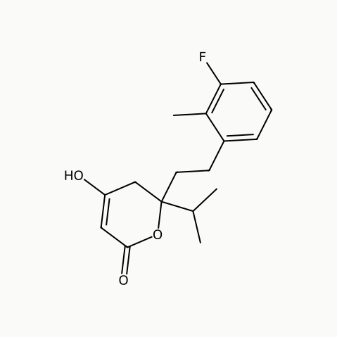 Cc1c(F)cccc1CCC1(C(C)C)CC(O)=CC(=O)O1